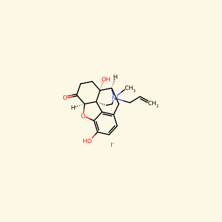 C=CC[N+]1(C)CC[C@]23c4c5ccc(O)c4O[C@H]2C(=O)CC[C@@]3(O)[C@H]1C5.[I-]